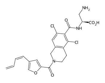 C=C/C=C\c1coc(C(=O)N2CCc3c(cc(Cl)c(C(=O)N[C@@H](CN)C(=O)O)c3Cl)C2)c1